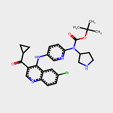 CC(C)(C)OC(=O)N(c1ccc(Nc2c(C(=O)C3CC3)cnc3ccc(Br)cc23)cn1)C1CCNC1